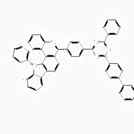 c1ccc(-c2ccc(-c3nc(-c4ccccc4)nc(-c4ccc(-c5nc6ccccc6c6c5ccc5c7ccccc7n(-c7ccccc7)c56)cc4)n3)cc2)cc1